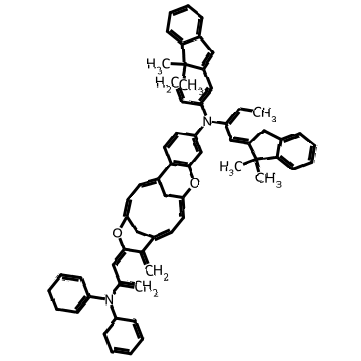 C=C/C(=C\C1=Cc2ccccc2C1(C)C)N(C(=C/C)/C=C1\Cc2ccccc2C1(C)C)c1ccc2c(c1)O/C1=C/C=C3\C/C(=C\C=C\2C1)O/C(=C/C(=C)N(C1=CCCC=C1)C1C=CC=CC1)C3=C